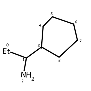 CCC(N)[C]1CCCCC1